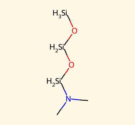 CN(C)[SiH2]O[SiH2]O[SiH3]